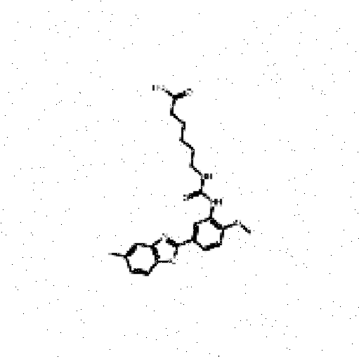 COc1ccc(-c2nc3cc(F)ccc3o2)cc1NC(=O)NCCCCCC(=O)O